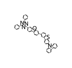 c1ccc(-c2nc(-c3ccccc3)nc(-c3ccc4c(c3)oc3cc(-c5ccc6sc7cc(-n8c9ccccc9c9ccccc98)ccc7c6c5)ccc34)n2)cc1